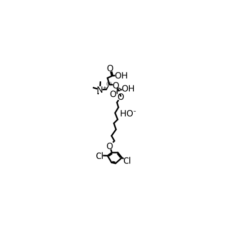 C[N+](C)(C)C[C@@H](CC(=O)O)OP(=O)(O)OCCCCCCCCOc1cc(Cl)ccc1Cl.[OH-]